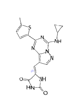 Cc1ccc(-c2nc(NC3CC3)n3ncc(/C=C4\NC(=O)NC4=O)c3n2)s1